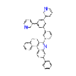 c1ccc(-c2ccc3c(c2)nc(-c2cccc(-c4cc(-c5cccnc5)cc(-c5cccnc5)c4)c2)c2ccc4ccccc4c23)cc1